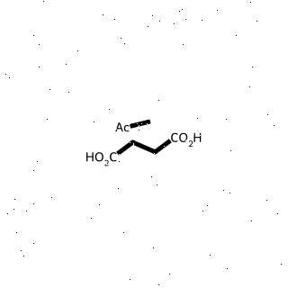 CC(C)=O.O=C(O)CCC(=O)O